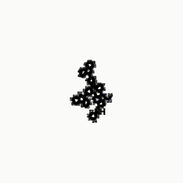 C=C(/C=C\c1ccccc1CNc1ccccc1)C(=C)/C(=C\C=C/C)c1cccc(N(c2ccc(-c3cc4ccccc4c4ccccc34)cc2)c2ccc(-c3cc4ccccc4c4ccccc34)cc2)c1